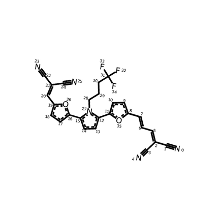 N#CC(C#N)=C/C=C/c1ccc(-c2ccc(-c3ccc(C=C(C#N)C#N)o3)n2CCCC(F)(F)F)o1